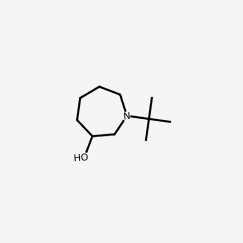 CC(C)(C)N1CCCCC(O)C1